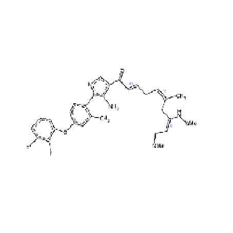 CNC/C=C(\C/C(C)=C\C/C=C/C(=O)c1cnn(-c2ccc(Oc3cccc(F)c3F)cc2C)c1N)NSC